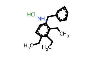 CCc1ccc(Cc2ccccc2)c(CC)c1CC.Cl.N